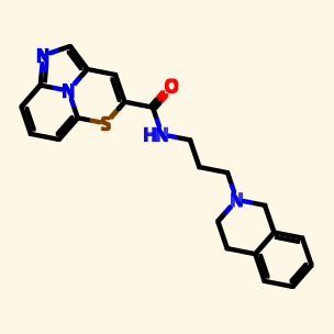 O=C(NCCCN1CCc2ccccc2C1)C1=Cc2cnc3cccc(n23)S1